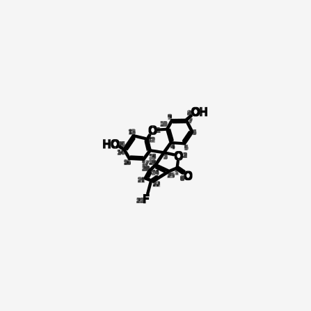 O=C1OC2(c3ccc(O)cc3Oc3cc(O)ccc32)c2ccc(F)cc21